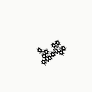 c1ccc(-c2nc3ccc(-c4ccc(-c5nc(-c6cccc7c6oc6ccccc67)cc(-c6cccc7c6oc6ccccc67)n5)cc4)cc3c3c2ccc2c3c3ccccc3n2-c2ccccc2)cc1